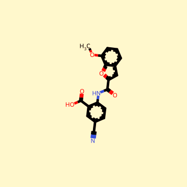 COc1cccc2cc(C(=O)Nc3ccc(C#N)cc3C(=O)O)oc12